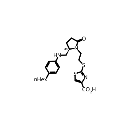 CCCCCCc1ccc(NC[C@H]2CCC(=O)N2CCSc2nc(C(=O)O)cs2)cc1